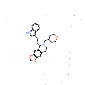 c1ccc2c(CCC3c4cc5c(cc4CCN3CC3CCOCC3)OCO5)c[nH]c2c1